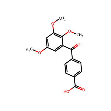 COc1cc(OC)c(OC)c(C(=O)c2ccc(C(=O)O)cc2)c1